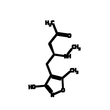 CN[C@H](CC(C)=O)Cc1c(O)noc1C